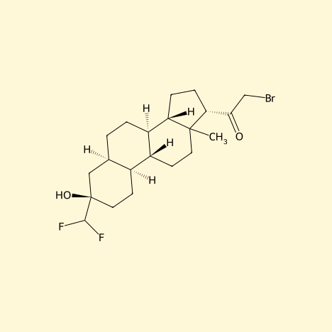 CC12CC[C@H]3[C@@H](CC[C@@H]4C[C@@](O)(C(F)F)CC[C@@H]43)[C@@H]1CC[C@@H]2C(=O)CBr